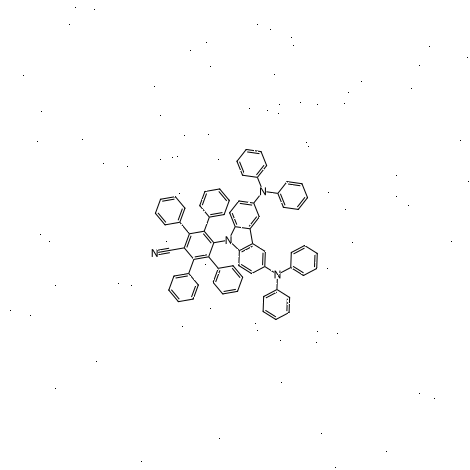 N#Cc1c(-c2ccccc2)c(-c2ccccc2)c(-n2c3ccc(N(c4ccccc4)c4ccccc4)cc3c3cc(N(c4ccccc4)c4ccccc4)ccc32)c(-c2ccccc2)c1-c1ccccc1